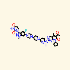 CC(=O)c1c(C)c2cnc(Nc3ccc(N4CCC(N5CCN(c6cc7c(cc6F)c(N6CCC(=O)NC6=O)nn7C)CC5)CC4)cn3)nc2n(C2CCCC2)c1=O